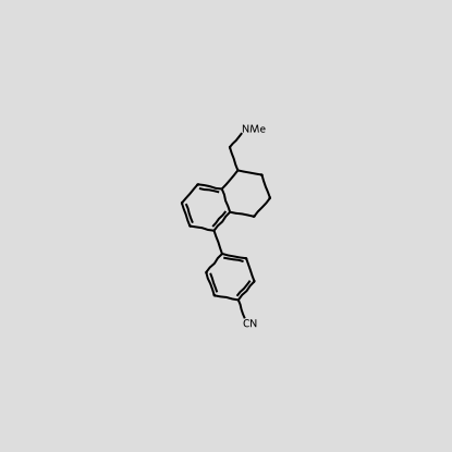 CNCC1CCCc2c(-c3ccc(C#N)cc3)cccc21